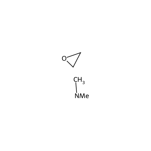 C1CO1.CNC